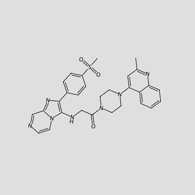 Cc1cc(N2CCN(C(=O)CNc3c(-c4ccc(S(C)(=O)=O)cc4)nc4cnccn34)CC2)c2ccccc2n1